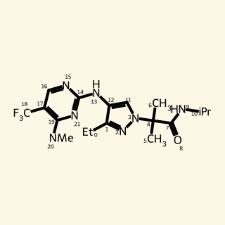 CCc1nn(C(C)(C)C(=O)NC(C)C)cc1Nc1ncc(C(F)(F)F)c(NC)n1